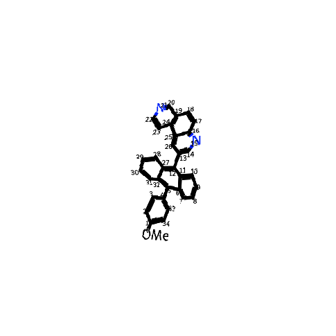 COc1ccc(-c2c3ccccc3c(-c3cnc4ccc5cnccc5c4c3)c3ccccc23)cc1